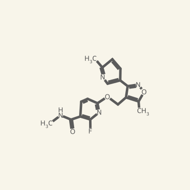 CNC(=O)c1ccc(OCc2c(-c3ccc(C)nc3)noc2C)nc1F